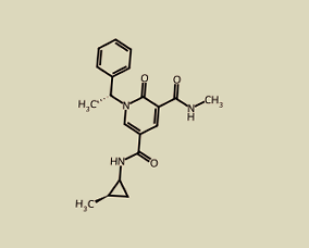 CNC(=O)c1cc(C(=O)NC2C[C@H]2C)cn([C@H](C)c2ccccc2)c1=O